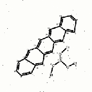 CCO[SiH](OCC)OCC.c1ccc2cc3cc4cc5ccccc5cc4cc3cc2c1